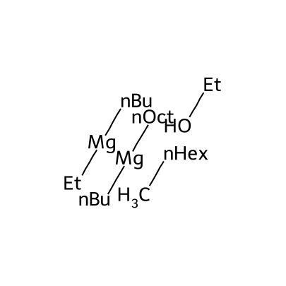 CCCCCCC.CCCCCCC[CH2][Mg][CH2]CCC.CCC[CH2][Mg][CH2]C.CCO